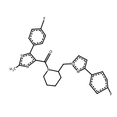 Cc1nc(C(=O)N2CCCCC2Cn2ccc(-c3ccc(F)cc3)n2)c(-c2ccc(F)cc2)s1